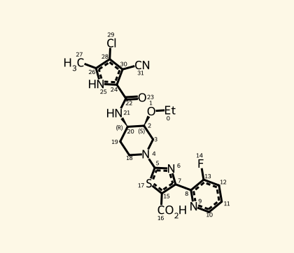 CCO[C@H]1CN(c2nc(-c3ncccc3F)c(C(=O)O)s2)CC[C@H]1NC(=O)c1[nH]c(C)c(Cl)c1C#N